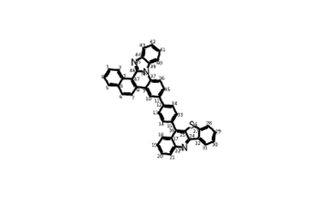 c1ccc2c(c1)ccc1c3cc(-c4ccc(-c5c6ccccc6nc6c5sc5ccccc56)cc4)ccc3n3c4ccccc4nc3c21